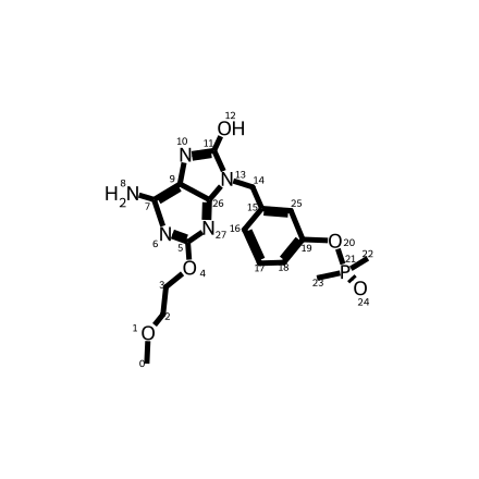 COCCOc1nc(N)c2nc(O)n(Cc3cccc(OP(C)(C)=O)c3)c2n1